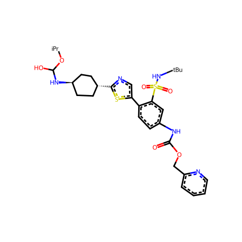 CC(C)OC(O)N[C@H]1CC[C@H](c2ncc(-c3ccc(NC(=O)OCc4ccccn4)cc3S(=O)(=O)NC(C)(C)C)s2)CC1